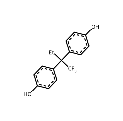 CCC(c1ccc(O)cc1)(c1ccc(O)cc1)C(F)(F)F